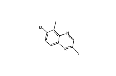 CCc1ccc2nc(I)cnc2c1C